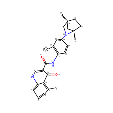 Cc1cccc2[nH]cc(C(=O)Nc3ccc(N4C[C@@H]5CC[C@H]4C5)cc3C(F)(F)F)c(=O)c12